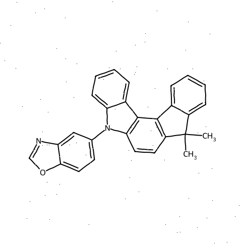 CC1(C)c2ccccc2-c2c1ccc1c2c2ccccc2n1-c1ccc2ocnc2c1